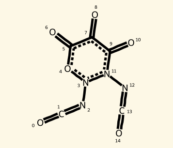 O=C=Nn1oc(=O)c(=O)c(=O)n1N=C=O